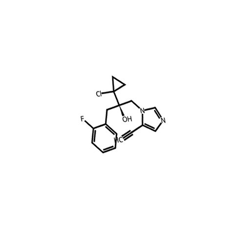 C#Cc1cncn1C[C@](O)(Cc1ccccc1F)C1(Cl)CC1